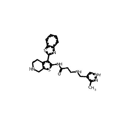 Cc1n[nH]cc1CNCCC(=O)Nc1sc2c(c1-c1nc3ccccc3s1)CCNC2